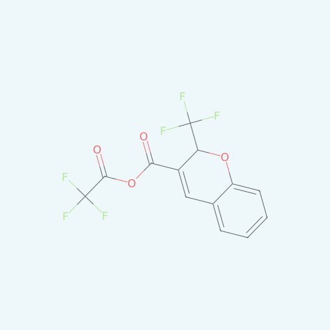 O=C(OC(=O)C(F)(F)F)C1=Cc2ccccc2OC1C(F)(F)F